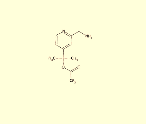 CC(C)(OC(=O)C(F)(F)F)c1ccnc(CN)c1